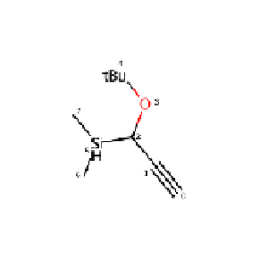 C#CC(OC(C)(C)C)[SiH](C)C